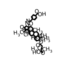 CC(C)C1=C2[C@H]3CC[C@@H]4[C@@]5(C)CC[C@H](OC(=O)CC(C)(C)C(=O)O)C(C)(C)[C@@H]5CC[C@@]4(C)[C@]3(C)CC[C@@]2(c2nnc(-c3ccc(C(=O)O)cc3)o2)CC1=O